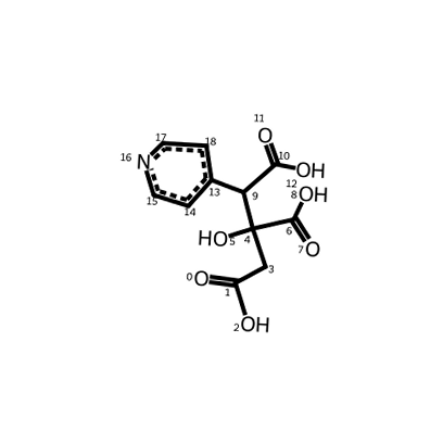 O=C(O)CC(O)(C(=O)O)C(C(=O)O)c1ccncc1